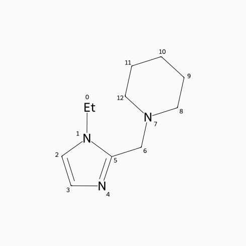 CCn1ccnc1CN1CCCCC1